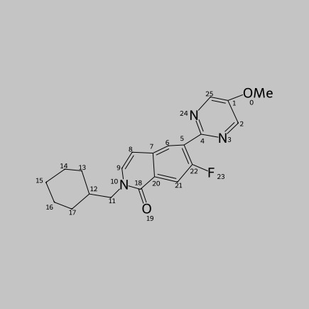 COc1cnc(-c2cc3ccn(CC4CCCCC4)c(=O)c3cc2F)nc1